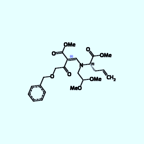 C=CC[C@@H](C(=O)OC)N(/C=C(\C(=O)COCc1ccccc1)C(=O)OC)CC(OC)OC